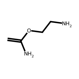 C=C(N)OCCN